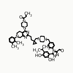 C=CC(=O)N1CCN(c2nc(CCC3(CN4CCN(Cc5ccc(-n6c(C=O)nnc6-c6cc(C(C)C)c(O)cc6O)cc5)CC4)CC3)nc3c2CCN(c2cccc(C)c2C)C3)CC1